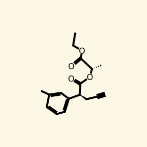 C#CC[C@H](C(=O)O[C@@H](C)C(=O)OCC)c1cccc(C)c1